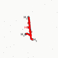 CC/C=C\CCCCOC(CCCCC(=O)OCCCCCN(CCO)CCCCCCCC(=O)OCCCCCCCCC)OCCCC/C=C\CC